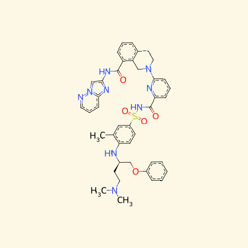 Cc1cc(S(=O)(=O)NC(=O)c2cccc(N3CCc4cccc(C(=O)Nc5cn6ncccc6n5)c4C3)n2)ccc1N[C@H](CCN(C)C)COc1ccccc1